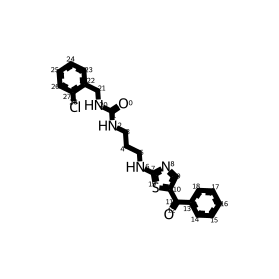 O=C(NCCCNc1ncc(C(=O)c2ccccc2)s1)NCc1ccccc1Cl